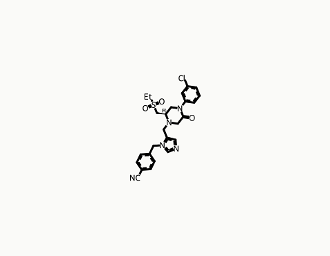 CCS(=O)(=O)C[C@H]1CN(c2cccc(Cl)c2)C(=O)CN1Cc1cncn1Cc1ccc(C#N)cc1